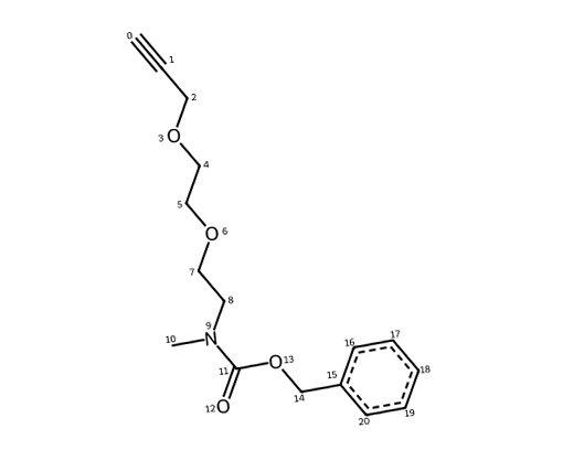 C#CCOCCOCCN(C)C(=O)OCc1ccccc1